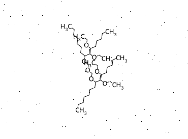 CCCCCCCC(OCOCOC(CCCCCCC)C(OCC)=C(CCCCC)OCC)C(OCC)=C(CCCCC)OCC